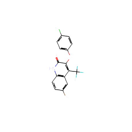 O=c1[nH]c2ccc(Br)cc2c(C(F)(F)F)c1Oc1ccc(Cl)cc1